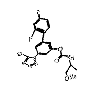 CCc1nnnn1-c1cc(OC(=O)NC(C)COC)cc(-c2ccc(F)cc2F)c1